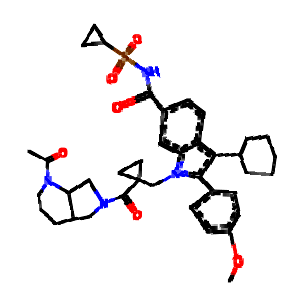 COc1ccc(-c2c(C3CCCCC3)c3ccc(C(=O)NS(=O)(=O)C4CC4)cc3n2CC2(C(=O)N3CC4CCCN(C(C)=O)C4C3)CC2)cc1